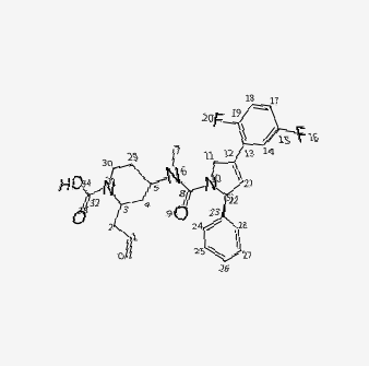 C=CCC1CC(N(C)C(=O)N2CC(c3cc(F)ccc3F)=C[C@H]2c2ccccc2)CCN1C(=O)O